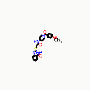 COc1ccc(C(=O)N2CCC(NC(=O)CCSc3nc4ccccc4c(=O)[nH]3)CC2)cc1